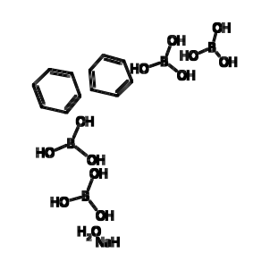 O.OB(O)O.OB(O)O.OB(O)O.OB(O)O.[NaH].c1ccccc1.c1ccccc1